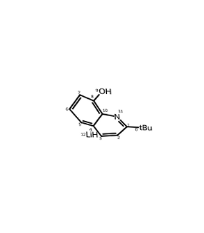 CC(C)(C)c1ccc2cccc(O)c2n1.[LiH]